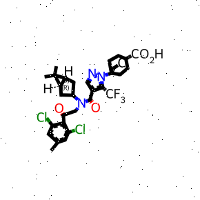 Cc1cc(Cl)c(C(=O)CN(C(=O)c2cnn(C34CCC(C(=O)O)(CC3)CC4)c2C(F)(F)F)C2C[C@@H]3[C@H](C2)C3(C)C)c(Cl)c1